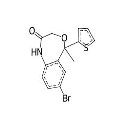 CC1(c2cccs2)OCC(=O)Nc2ccc(Br)cc21